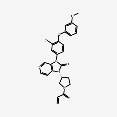 C=CC(=O)N1CC[C@@H](n2c(=O)n(-c3ccc(Oc4cccc(OC)c4)c(Cl)c3)c3cnccc32)C1